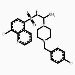 CC(NS(=O)(=O)c1ccc(Cl)c2ncccc12)N1CCN(Cc2ccc(Cl)cc2)CC1